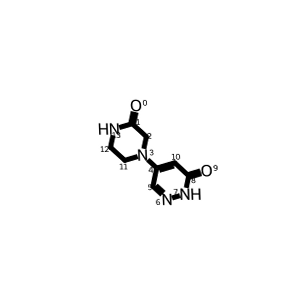 O=C1CN(c2cn[nH]c(=O)c2)CCN1